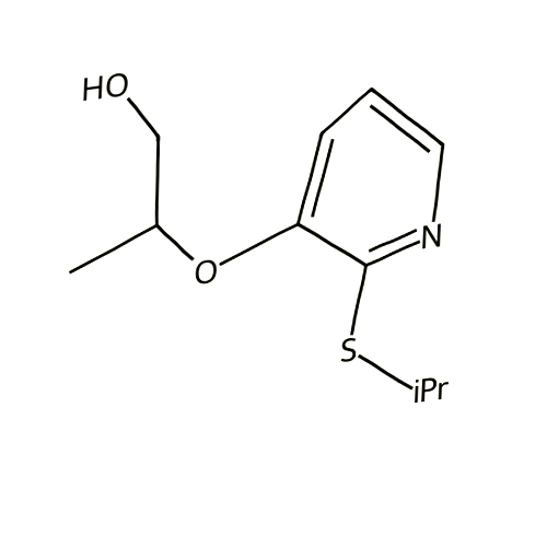 CC(CO)Oc1cccnc1SC(C)C